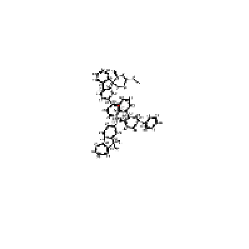 C=C1CC(CC)CCC12c1ccccc1-c1ccc(-c3ccc(N(c4ccc5c(c4)C(C)(C)c4ccccc4-5)c4ccc(-c5ccccc5)cc4-c4ccccc4)cc3)cc12